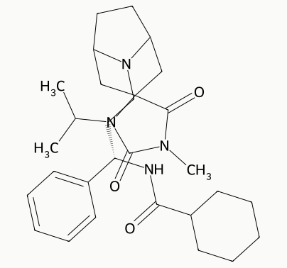 CC(C)N1C(=O)N(C)C(=O)C12CC1CCC(C2)N1CC[C@H](NC(=O)C1CCCCC1)c1ccccc1